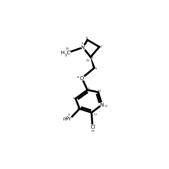 CCCc1cc(OC[C@@H]2CCN2C)cnc1Cl